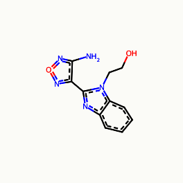 Nc1nonc1-c1nc2ccccc2n1CCO